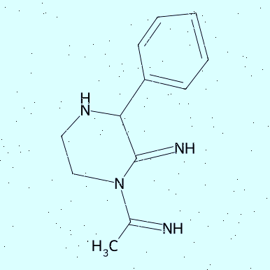 CC(=N)N1CCNC(c2ccccc2)C1=N